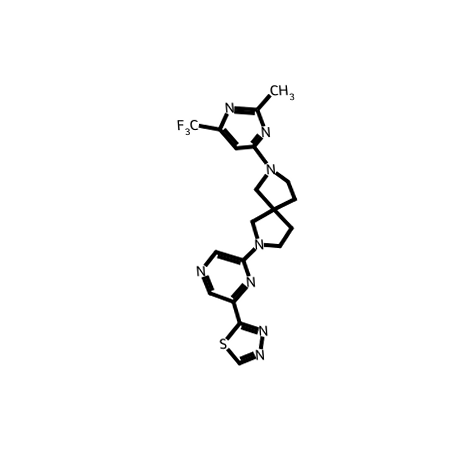 Cc1nc(N2CCC3(CCN(c4cncc(-c5nncs5)n4)C3)C2)cc(C(F)(F)F)n1